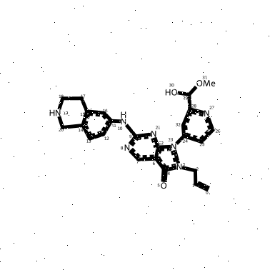 C=CCn1c(=O)c2cnc(Nc3ccc4c(c3)CCNC4)nc2n1-c1ccnc(C(O)OC)c1